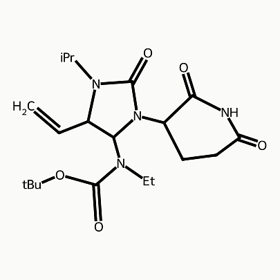 C=CC1C(N(CC)C(=O)OC(C)(C)C)N(C2CCC(=O)NC2=O)C(=O)N1C(C)C